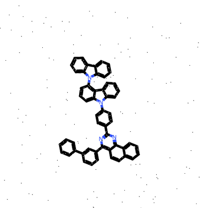 c1ccc(-c2cccc(-c3nc(-c4ccc(-n5c6ccccc6c6c(-n7c8ccccc8c8ccccc87)cccc65)cc4)nc4c3ccc3ccccc34)c2)cc1